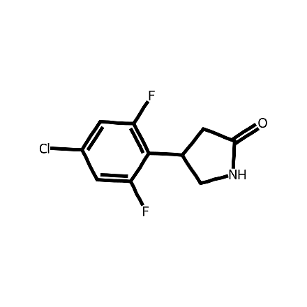 O=C1CC(c2c(F)cc(Cl)cc2F)CN1